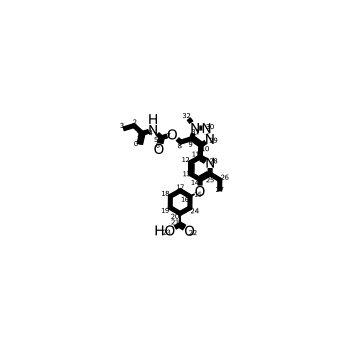 C=C(CC)NC(=O)OCc1c(-c2ccc(O[C@H]3CCC[C@H](C(=O)O)C3)c(CC)n2)nnn1C